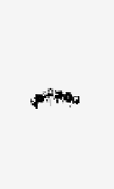 CC(F)(F)c1ccc2sc(C(=O)Nc3scc(-c4ccc(Cl)cc4)c3C(=O)O)nc2c1